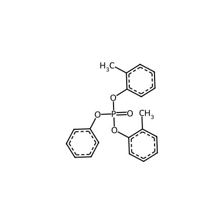 Cc1ccccc1OP(=O)(Oc1ccccc1)Oc1ccccc1C